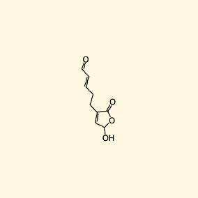 O=CC=CCCC1=CC(O)OC1=O